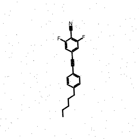 CCCCCc1ccc(C#Cc2cc(F)c(C#N)c(F)c2)cc1